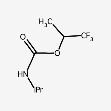 CC(C)NC(=O)OC(C)C(F)(F)F